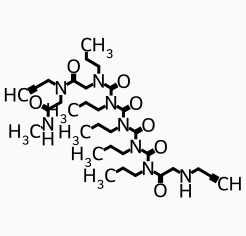 C#CCNCC(=O)N(CCC)C(=O)N(CCC)C(=O)N(CCC)C(=O)N(CCC)C(=O)N(CCC)CC(=O)N(CC#C)CC(=O)NC